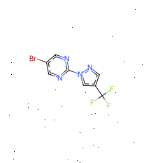 FC(F)(F)c1cnn(-c2ncc(Br)cn2)c1